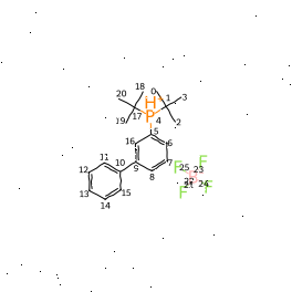 CC(C)(C)[PH+](c1cccc(-c2ccccc2)c1)C(C)(C)C.F[B-](F)(F)F